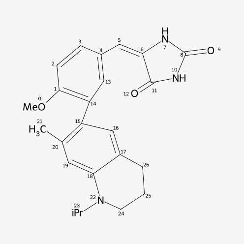 COc1ccc(C=C2NC(=O)NC2=O)cc1-c1cc2c(cc1C)N(C(C)C)CCC2